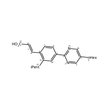 CCCCCCc1cnc(-c2ccc(/C=C/C(=O)O)c(C(C)CCC)c2)nc1